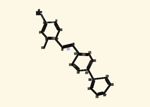 Cc1cc(C#N)ccc1/C=C/c1ccc(-c2ccccc2)cc1